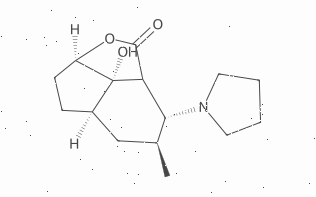 C[C@H]1C[C@H]2CC[C@H]3OC(=O)C([C@@H]1N1CCCC1)[C@@]23O